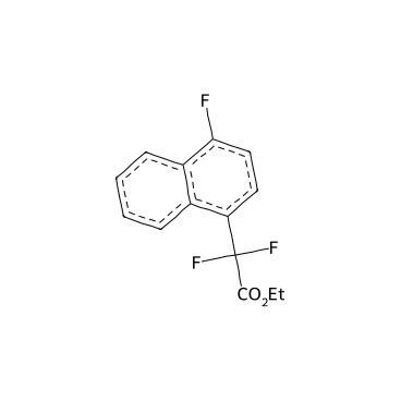 CCOC(=O)C(F)(F)c1ccc(F)c2ccccc12